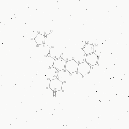 Cc1ccc2[nH]ncc2c1C1Cc2nc(OC[C@@H]3CCCN3C)nc(N3CCNCC3)c2CC1C